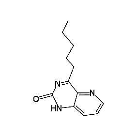 CCCCCc1nc(=O)[nH]c2cccnc12